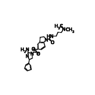 CN(C)CCCNC(=O)N1CCc2cc(S(=O)(=O)N3CC(c4ccccc4)N=C3N)ccc21